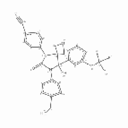 CCc1ccc(N2C(=O)N(c3ccc(C#N)cc3)C3(COC3)C2(O)c2cccc(OC(F)(F)F)c2)cc1